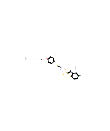 CCCc1cc(SCCN(CCC)S(=O)(=O)c2sc3ccc(Cl)cc3c2C)ccc1OCC(=O)OCC